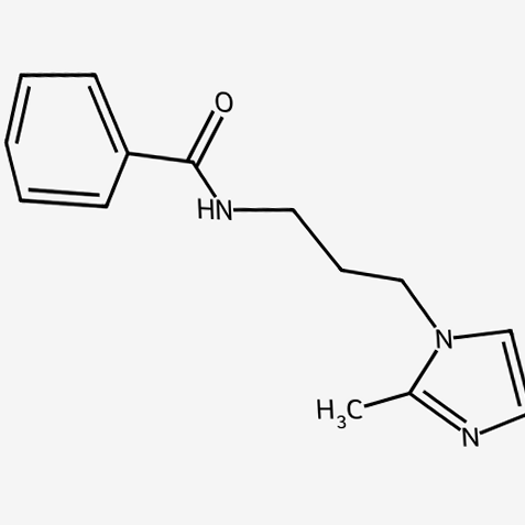 Cc1nccn1CCCNC(=O)c1ccccc1